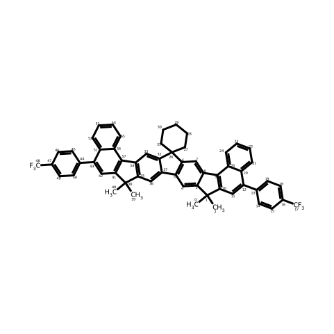 CC1(C)c2cc3c(cc2-c2c1cc(-c1ccc(C(F)(F)F)cc1)c1ccccc21)C1(CCCCC1)c1cc2c(cc1-3)C(C)(C)c1cc(-c3ccc(C(F)(F)F)cc3)c3ccccc3c1-2